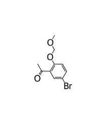 COCOc1ccc(Br)cc1C(C)=O